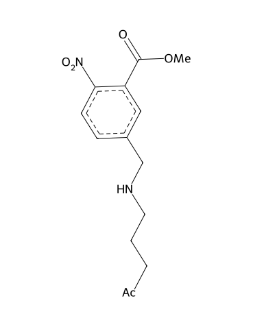 COC(=O)c1cc(CNCCCC(C)=O)ccc1[N+](=O)[O-]